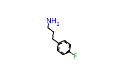 NC[CH]Cc1ccc(F)cc1